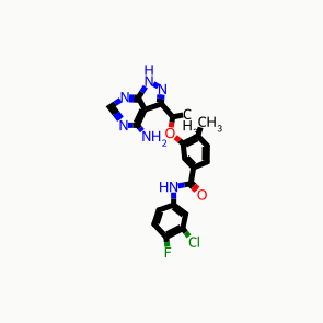 Cc1ccc(C(=O)Nc2ccc(F)c(Cl)c2)cc1OC(C)c1n[nH]c2ncnc(N)c12